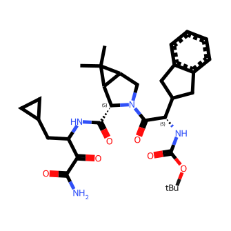 CC(C)(C)OC(=O)N[C@H](C(=O)N1CC2C([C@H]1C(=O)NC(CC1CC1)C(=O)C(N)=O)C2(C)C)C1Cc2ccccc2C1